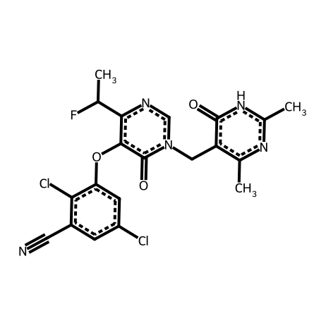 Cc1nc(C)c(Cn2cnc(C(C)F)c(Oc3cc(Cl)cc(C#N)c3Cl)c2=O)c(=O)[nH]1